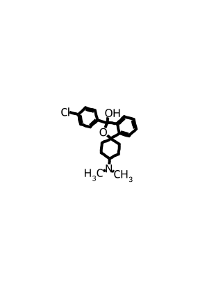 CN(C)C1CCC2(CC1)OC(O)(c1ccc(Cl)cc1)c1ccccc12